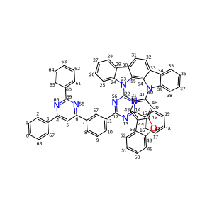 c1ccc(-c2cc(-c3cccc(-c4nc(-c5ccccc5)nc(-n5c6ccccc6c6ccc7c8ccccc8n(-c8ccc9c(c8)oc8ccccc89)c7c65)n4)c3)nc(-c3ccccc3)n2)cc1